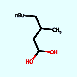 CCCCCC(C)CC(O)O